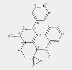 CC(c1ccccc1)N1c2nc(-c3ccncc3)cc(=O)n2CCC12CC2